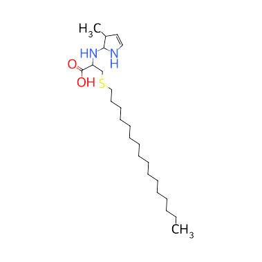 CCCCCCCCCCCCCCCCSCC(NC1NC=CC1C)C(=O)O